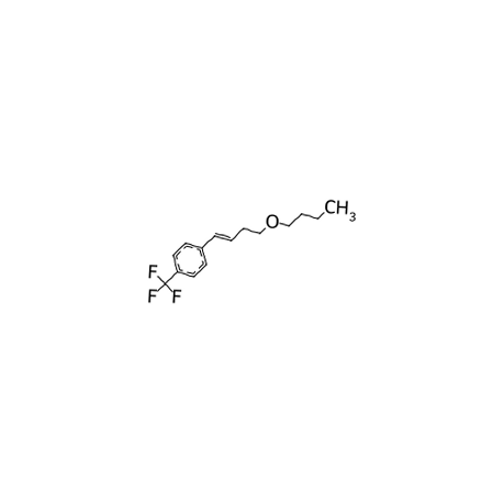 CCCCOCC/C=C/c1ccc(C(F)(F)F)cc1